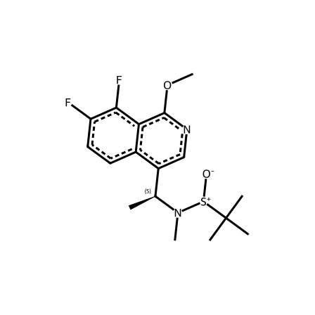 COc1ncc([C@H](C)N(C)[S+]([O-])C(C)(C)C)c2ccc(F)c(F)c12